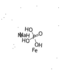 O=P(O)(O)O.[Fe].[NaH].[Ni]